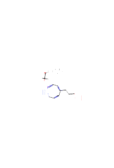 COC(=O)C(C)(C)O/C1=C/C=C(CCCO)\C=C/CN1